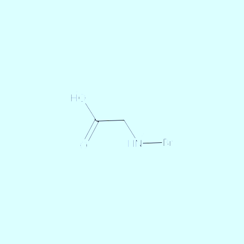 O=C(O)CNBr